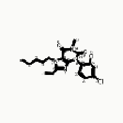 CCCCCn1c(CC)nc2c1c(=O)n(C)c(=O)n2-c1ccc(Cl)cc1Cl